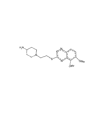 COc1ccc2ncc(SCCN3CCC(N)CC3)nc2c1OC